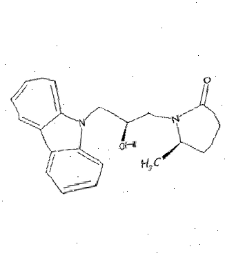 C[C@@H]1CCC(=O)N1C[C@@H](O)Cn1c2ccccc2c2ccccc21